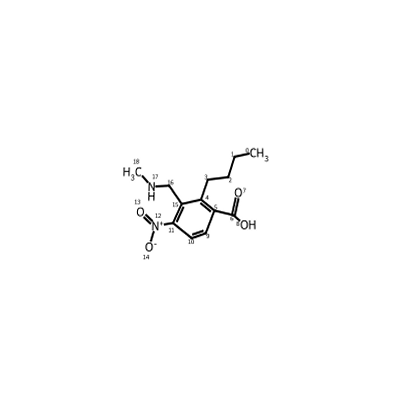 CCCCc1c(C(=O)O)ccc([N+](=O)[O-])c1CNC